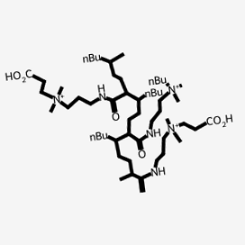 C=C(NCCC[N+](C)(C)CCC(=O)O)C(C)CCC(CCCC)C(CCC(CCCC)C(CCC(C)CCCC)C(=O)NCCC[N+](C)(C)CCC(=O)O)C(=O)NCCC[N+](C)(C)CCCC